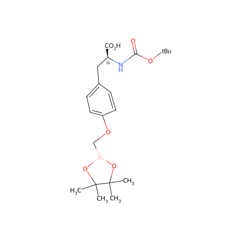 CC(C)(C)OC(=O)N[C@@H](Cc1ccc(OCB2OC(C)(C)C(C)(C)O2)cc1)C(=O)O